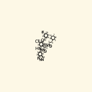 O=C(C=Cc1ccccc1)NCCC(=O)N(Nc1ccc(OCc2cccc(F)c2)c(Cl)c1)c1ccc2ncncc2c1